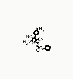 Cc1ccc(-c2c(C#N)c(N)nc(SCC(=O)OCc3ccccc3)c2C#N)cc1